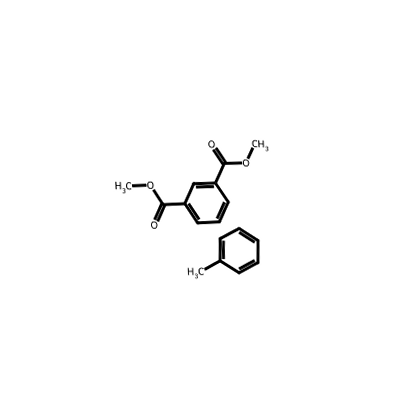 COC(=O)c1cccc(C(=O)OC)c1.Cc1ccccc1